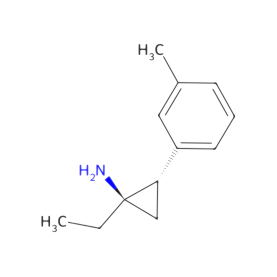 CC[C@@]1(N)C[C@H]1c1cccc(C)c1